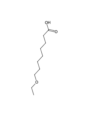 CCOCCCCCCCC(=O)O